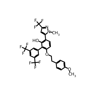 COc1ccc(CCOc2ccc(-c3cc(C(F)(F)F)nn3C)c(O)c2-c2cc(C(F)(F)F)cc(C(F)(F)F)c2)cc1